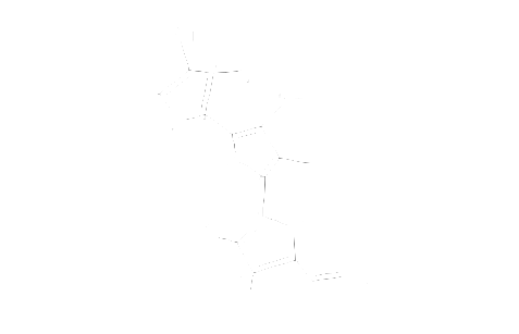 C=Cc1sc(-c2sc(-c3scc(C)c3C)c(C)c2C)c(C)c1C